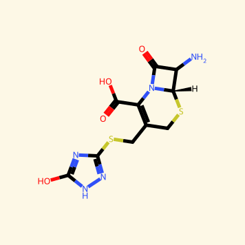 NC1C(=O)N2C(C(=O)O)=C(CSc3n[nH]c(O)n3)CS[C@@H]12